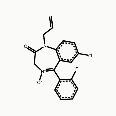 C=CCN1C(=O)C[N+]([O-])=C(c2ccccc2F)c2cc(Cl)ccc21